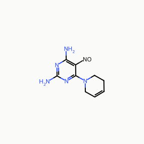 Nc1nc(N)c(N=O)c(N2CC=CCC2)n1